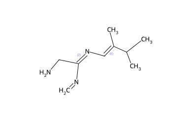 C=N/C(CN)=N\C=C(/C)C(C)C